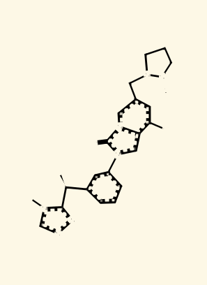 C[C@@H](c1cccc(-n2cc3c(C(F)(F)F)cc(CN4CCC[Si@@H]4C)cn3c2=O)c1)c1nncn1C